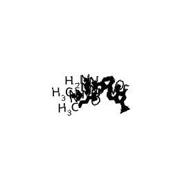 CCCCCC(=O)OCc1c(-c2nc(N)nc(Nc3cnn(C)c3)n2)cccc1-n1ccc2cc(C3CC3)cc(F)c2c1=O